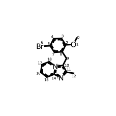 COc1ccc(Br)cc1Cc1c(C)nc2ccccn12